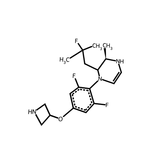 C[C@H]1NC=CN(c2c(F)cc(OC3CNC3)cc2F)C1CC(C)(C)F